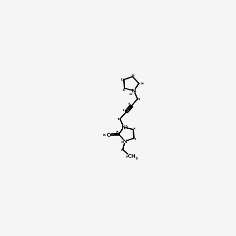 CCN1CCN(CC#CCN2CCCC2)C1=O